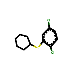 Clc1ccc(Cl)c(SC2CCCCC2)c1